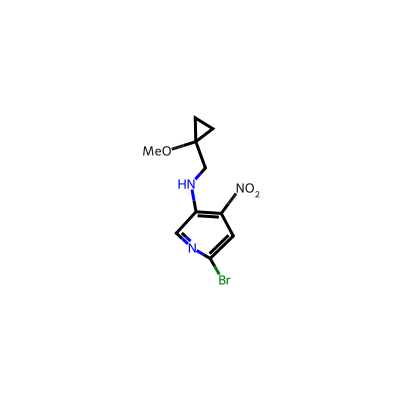 COC1(CNc2cnc(Br)cc2[N+](=O)[O-])CC1